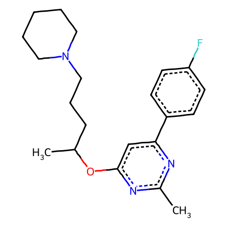 Cc1nc(OC(C)CCCN2CCCCC2)cc(-c2ccc(F)cc2)n1